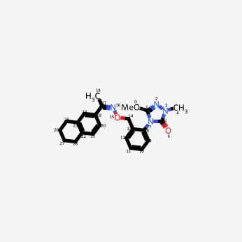 COc1nn(C)c(=O)n1-c1ccccc1CO/N=C(/C)c1ccc2c(c1)CCCC2